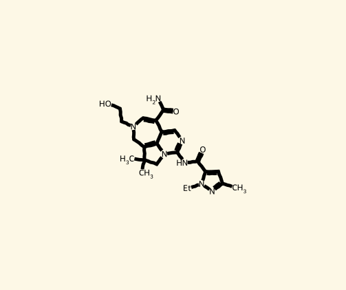 CCn1nc(C)cc1C(=O)NC1=NC=C2C(C(N)=O)=CN(CCO)CC3=C2N1CC3(C)C